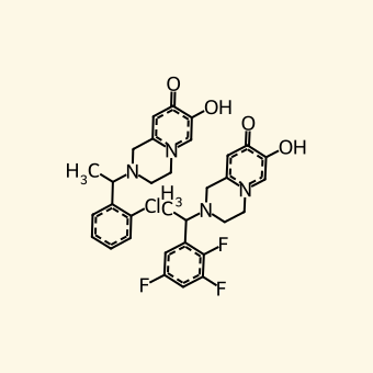 CC(c1cc(F)cc(F)c1F)N1CCn2cc(O)c(=O)cc2C1.CC(c1ccccc1Cl)N1CCn2cc(O)c(=O)cc2C1